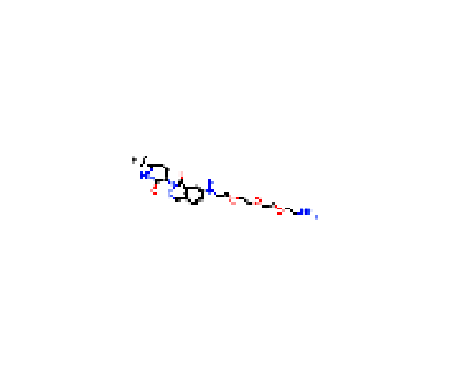 C=C1CCC(n2ncc3ccc(NCCOCCOCCOCCN)cc3c2=O)C(=O)N1